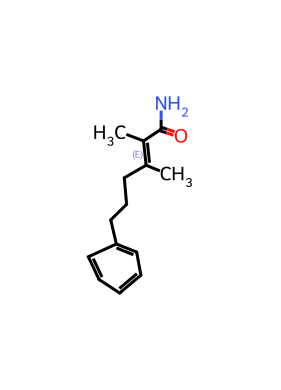 C/C(CCCc1ccccc1)=C(/C)C(N)=O